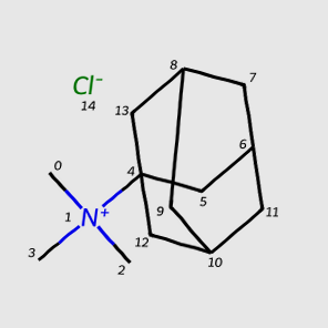 C[N+](C)(C)C12CC3CC(CC(C3)C1)C2.[Cl-]